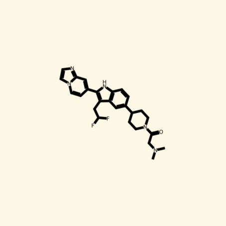 CN(C)CC(=O)N1CCC(c2ccc3[nH]c(-c4ccn5ccnc5c4)c(CC(F)F)c3c2)CC1